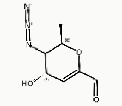 C[C@H]1OC(C=O)=C[C@H](O)C1N=[N+]=[N-]